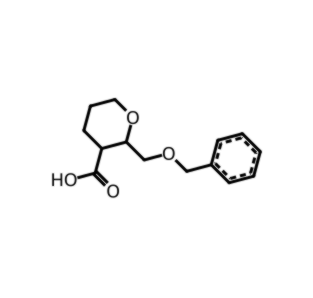 O=C(O)C1CCCOC1COCc1ccccc1